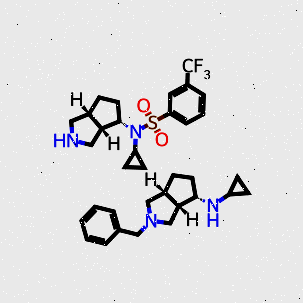 O=S(=O)(c1cccc(C(F)(F)F)c1)N(C1CC1)[C@H]1CC[C@H]2CNC[C@H]21.c1ccc(CN2C[C@@H]3CC[C@H](NC4CC4)[C@@H]3C2)cc1